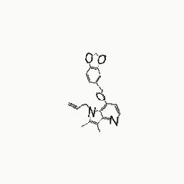 C=CCn1c(C)c(C)c2nccc(OCc3ccc4c(c3)OCO4)c21